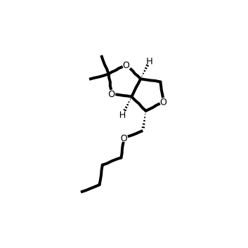 CCCCOC[C@H]1OC[C@@H]2OC(C)(C)O[C@@H]21